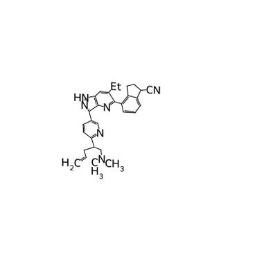 C=CCC(CN(C)C)c1ccc(-c2n[nH]c3cc(CC)c(-c4cccc5c4CCC5C#N)nc23)cn1